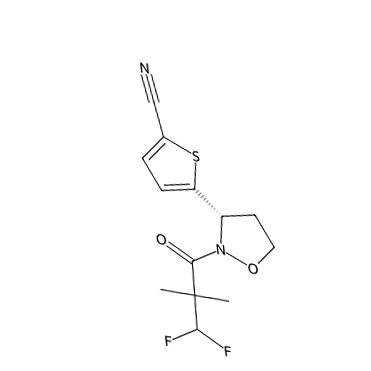 CC(C)(C(=O)N1OCC[C@H]1c1ccc(C#N)s1)C(F)F